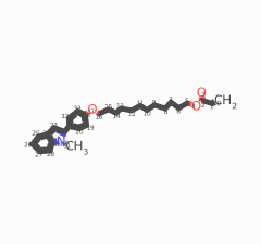 C=CC(=O)OCCCCCCCCCCCCOc1ccc(-c2cc3ccccc3n2C)cc1